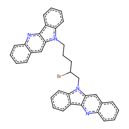 BrC(CCCn1c2ccccc2c2nc3ccccc3cc21)Cn1c2ccccc2c2nc3ccccc3cc21